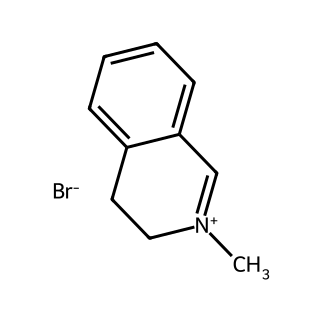 C[N+]1=Cc2ccccc2CC1.[Br-]